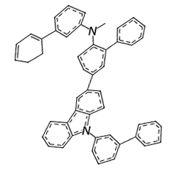 CN(c1cccc(C2=CC=CCC2)c1)c1ccc(-c2ccc3c(c2)c2ccccc2n3-c2cccc(-c3ccccc3)c2)cc1-c1ccccc1